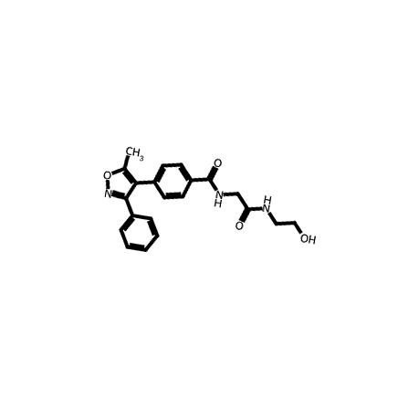 Cc1onc(-c2ccccc2)c1-c1ccc(C(=O)NCC(=O)NCCO)cc1